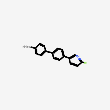 CCCCCCc1ccc(-c2ccc(-c3ccc(F)nc3)cc2)cc1